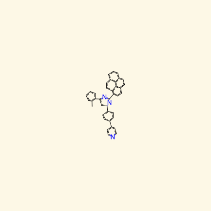 Cc1ccccc1-c1cc(-c2ccc(-c3ccncc3)cc2)nc(-c2ccc3ccc4cccc5ccc2c3c45)n1